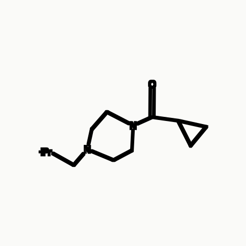 C[C](C)CN1CCN(C(=O)C2CC2)CC1